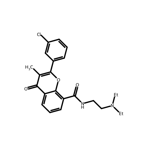 CCN(CC)CCNC(=O)c1cccc2c(=O)c(C)c(-c3cccc(Cl)c3)oc12